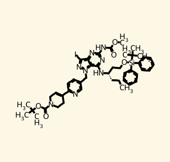 CCC[C@@H](CCO[Si](c1ccccc1)(c1ccccc1)C(C)(C)C)Nc1nc(NC(=O)OC)nc2c(I)nn(Cc3ccc(C4=CCN(C(=O)OC(C)(C)C)CC4)nc3)c12